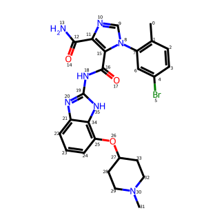 Cc1ccc(Br)cc1-n1cnc(C(N)=O)c1C(=O)Nc1nc2cccc(OC3CCN(C)CC3)c2[nH]1